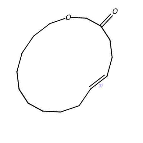 O=C1CC/C=C/CCCCCCCCCOC1